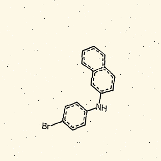 Brc1ccc(Nc2ccc3ccccc3c2)cc1